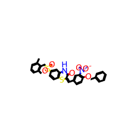 Cc1cccc(C)c1CS(=O)(=O)c1ccc2c(c1)NC(=O)/C(=C\c1ccc(OCc3ccccc3)c([N+](=O)[O-])c1)S2